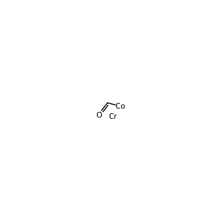 O=[CH][Co].[Cr]